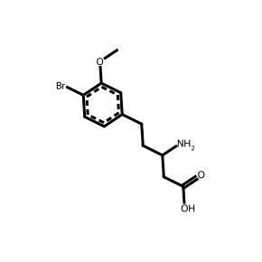 COc1cc(CCC(N)CC(=O)O)ccc1Br